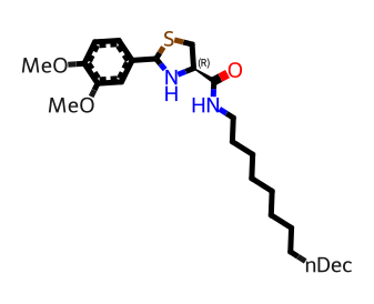 CCCCCCCCCCCCCCCCCCNC(=O)[C@@H]1CSC(c2ccc(OC)c(OC)c2)N1